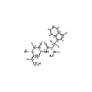 CC(=O)N(C)[C@H](C(=O)N[C@H](C(=O)N(C)[C@H](/C=C(\C)C(=O)O)C(C)C)C(C)(C)C)C(C)(C)c1cn(C)c2ccccc12